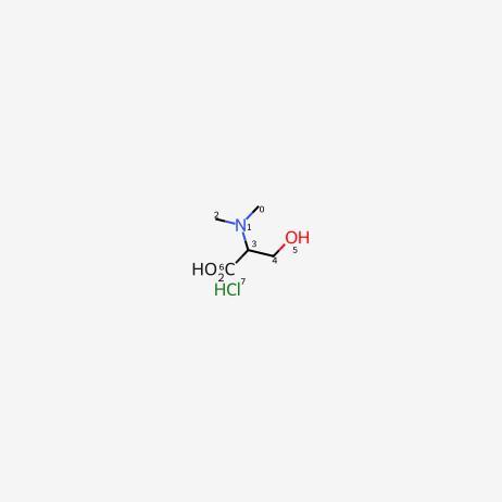 CN(C)C(CO)C(=O)O.Cl